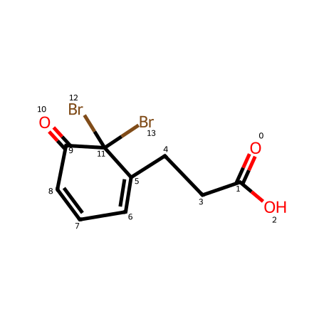 O=C(O)CCC1=CC=CC(=O)C1(Br)Br